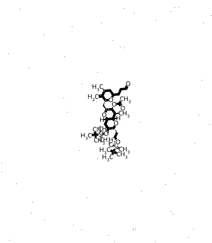 C=C1[C@H](C)CC(CCC=O)O[C@@H]1C[C@@H]1O[C@H]2CC(O[Si](C)(C)C(C)(C)C)[C@@H](CCO[Si](C)(C)C(C)(C)C)O[C@H]2[C@H](C)[C@H]1OC(C)=O